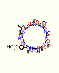 C/C=C/C[C@@H](C)[C@@H](I)C1C(=O)N[C@@H](C)C(=O)N(C)[C@H](Cc2ccc(C(=O)O)cc2)C(=O)N(C)[C@@H](CC(C)C)C(=O)N[C@@H](C(C)C)C(=O)N(C)[C@@H](CC(C)C)C(=O)N[C@@H](C)C(=O)N[C@H](C)C(=O)N(C)[C@@H](CC(C)C)C(=O)N(C)[C@@H](CC(C)C)C(=O)N(C)[C@@H](C(C)C)C(=O)N1C